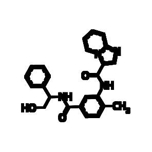 Cc1ccc(C(=O)NC(CO)c2ccccc2)cc1NC(=O)c1cnc2ccccn12